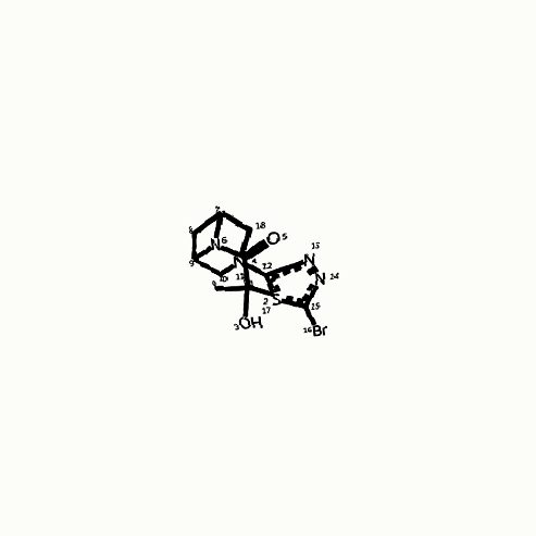 CC(C)(O)C(=O)N1C2CC1CN(c1nnc(Br)s1)C2